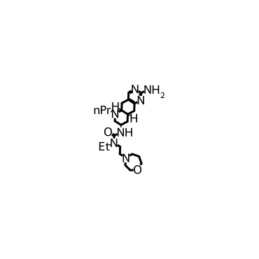 CCCN1C[C@@H](NC(=O)N(CC)CCN2CCCOCC2)C[C@@H]2Cc3nc(N)ncc3C[C@H]21